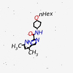 CCCCCCO[C@H]1CC[C@H](NC(=O)c2ncc3c(C)cc(C)nn23)CC1